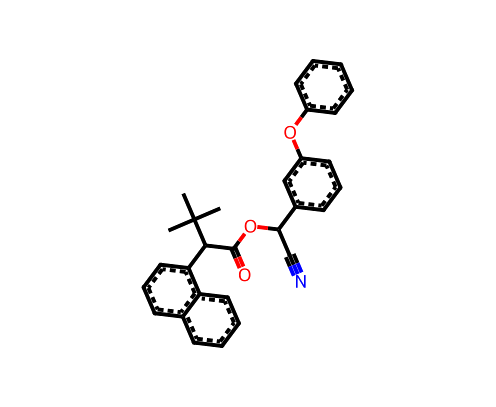 CC(C)(C)C(C(=O)OC(C#N)c1cccc(Oc2ccccc2)c1)c1cccc2ccccc12